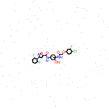 O=C(COc1ccc(Cl)c(F)c1)NC12CCC(NC(=O)c3cc(-c4c(F)cccc4F)no3)(CC1)CC2O